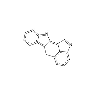 C1=Nc2cccc3c2C1=C1N=c2ccccc2=C1C3